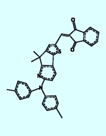 Cc1ccc(N(c2ccc(C)cc2)c2ccc3c(n2)C(C)(C)c2cc(C=C4C(=O)c5ccccc5C4=O)sc2-3)cc1